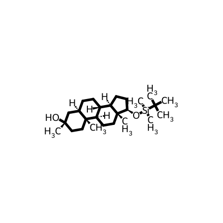 CC(C)(C)[Si](C)(C)O[C@@H]1CC[C@@H]2[C@H]3CC[C@@H]4C[C@@](C)(O)CC[C@@]4(C)[C@@H]3CC[C@]21C